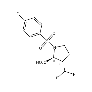 O=C(O)[C@@H]1[C@@H](C(F)F)CCN1S(=O)(=O)c1ccc(F)cc1